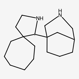 C1CCCC2(CC1)CCN[C]2C12CCCC(CNC1)C2